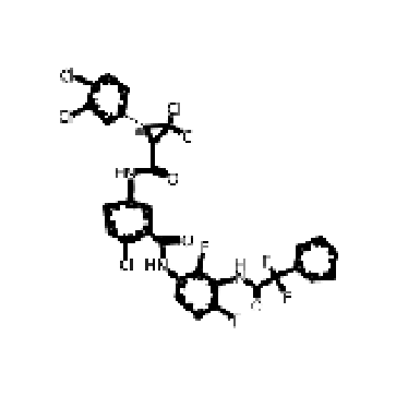 O=C(Nc1ccc(F)c(NC(=O)C(F)(F)c2ccccc2)c1F)c1cc(NC(=O)C2[C@H](c3ccc(Cl)c(Cl)c3)C2(Cl)Cl)ccc1Cl